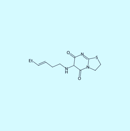 CCC=CCCNC1C(=O)N=C2SCCN2C1=O